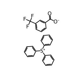 O=C([O-])c1cccc(C(F)(F)F)c1.c1ccc([S+](c2ccccc2)c2ccccc2)cc1